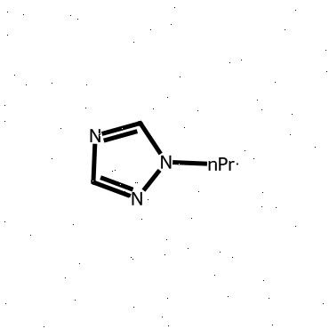 CC[CH]n1cncn1